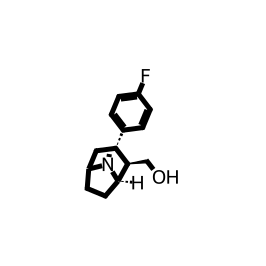 CN1C2CC[C@@H]1[C@H](CO)[C@@H](c1ccc(F)cc1)C2